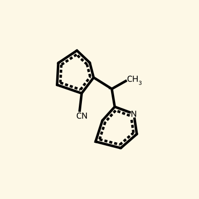 C[C](c1ccccn1)c1ccccc1C#N